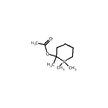 CC(=O)OC1(C)CCCC[Si]1(C)C